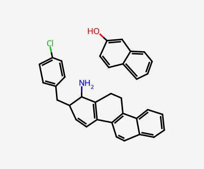 NC1C2=C(C=CC1Cc1ccc(Cl)cc1)c1ccc3ccccc3c1CC2.Oc1ccc2ccccc2c1